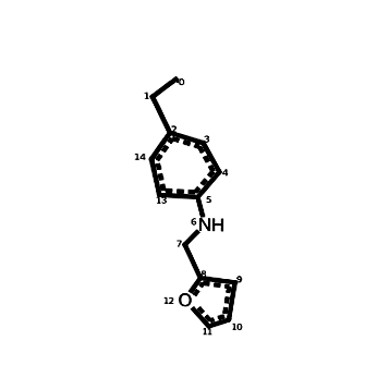 [CH2]Cc1ccc(NCc2ccco2)cc1